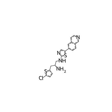 N[C@H](CNc1ncc(-c2ccc3cnccc3c2)s1)Cc1ccc(Cl)s1